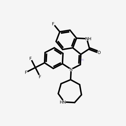 O=C1Nc2cc(F)ccc2/C1=C\N(c1cccc(C(F)(F)F)c1)C1CCCNCC1